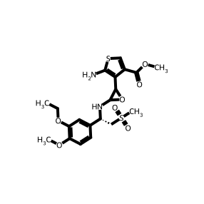 CCOc1cc([C@@H](CS(C)(=O)=O)NC2OC2c2c(C(=O)OC)csc2N)ccc1OC